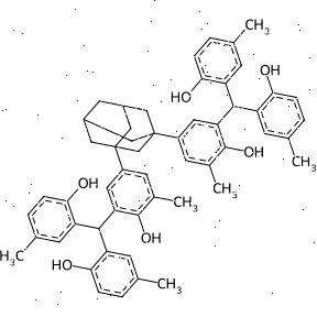 Cc1ccc(O)c(C(c2cc(C)ccc2O)c2cc(C34CC5CC(C3)CC(c3cc(C)c(O)c(C(c6cc(C)ccc6O)c6cc(C)ccc6O)c3)(C5)C4)cc(C)c2O)c1